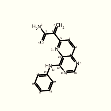 C=C(C(N)=O)c1ccc2ncnc(Nc3ccccc3)c2n1